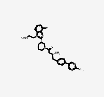 CC(=O)NCCn1c([C@@H]2CCCN(C(=O)C[C@H](N)Cc3ccc(-c4cnc(N)nc4)cc3)C2)nc2c(Cl)cccc21